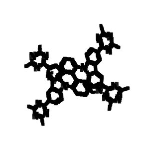 Cc1nc(C)nc(-c2ccc3c(c2)c2cc(-c4nc(C)nc(C)n4)ccc2n3-c2ccc(C#N)cc2-c2c(-n3c4ccc(-c5nc(C)nc(C)n5)cc4c4cc(-c5nc(C)nc(C)n5)ccc43)cccc2C(F)(F)F)n1